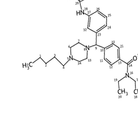 CCCCCN1CCN(C(c2ccc(C(=O)N(CC)CC)cc2)c2cccc(NC(=O)O)c2)CC1